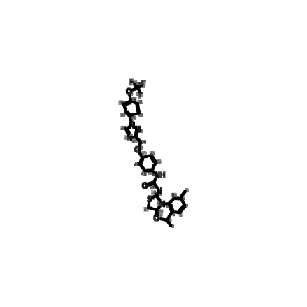 Cc1ccc(C(C)C)c(N2C(=O)CSC2=NC(=O)Nc2ccc(OCc3ncn(-c4ccc(OC(F)(F)F)cc4)n3)cc2)c1